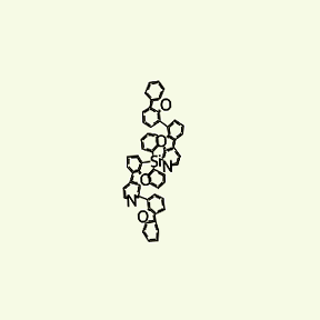 c1ccc([Si](c2ccccc2)(c2cccc3c2oc2c(-c4cccc5c4oc4ccccc45)nccc23)c2nccc3c2oc2c(-c4cccc5c4oc4ccccc45)cccc23)cc1